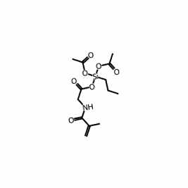 C=C(C)C(=O)NCC(=O)O[Si](CCC)(OC(C)=O)OC(C)=O